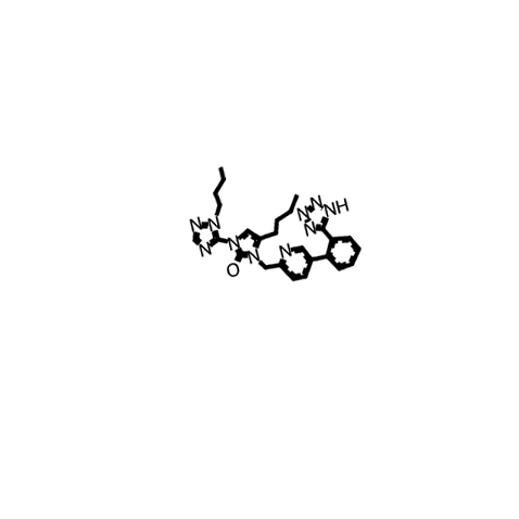 CCCCc1cn(-c2ncnn2CCCC)c(=O)n1Cc1ccc(-c2ccccc2-c2nnn[nH]2)cn1